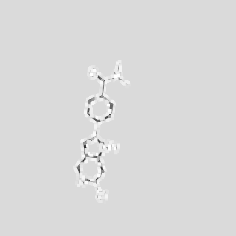 CN(C)C(=O)c1ccc(-c2cc3cnc(Cl)cc3[nH]2)cc1